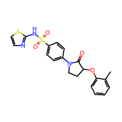 Cc1ccccc1OC1CCN(c2ccc(S(=O)(=O)Nc3nccs3)cc2)C1=O